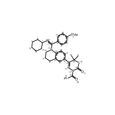 COc1ccc(/C(=N/C2CCCCC2)N2CCCc3cc(C4=NN(C(=O)C(C)C)C(=O)SC4(C)C)ccc32)cc1